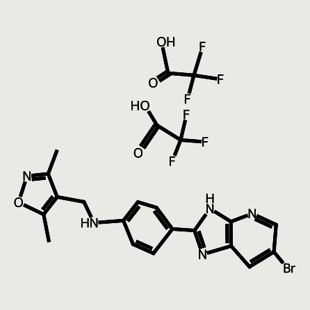 Cc1noc(C)c1CNc1ccc(-c2nc3cc(Br)cnc3[nH]2)cc1.O=C(O)C(F)(F)F.O=C(O)C(F)(F)F